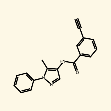 C#Cc1cccc(C(=O)Nc2cnn(-c3ccccc3)c2C)c1